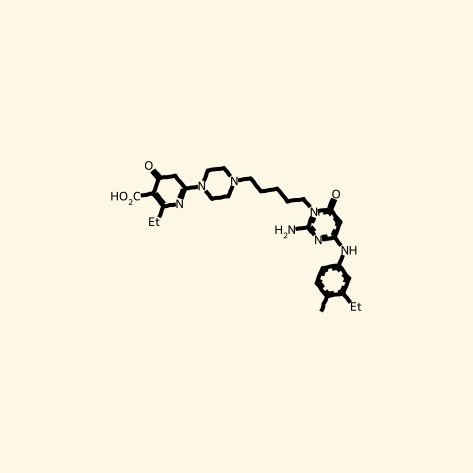 CCC1=C(C(=O)O)C(=O)CC(N2CCN(CCCCCn3c(N)nc(Nc4ccc(C)c(CC)c4)cc3=O)CC2)=N1